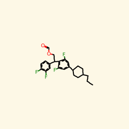 CCCC1CCC(c2cc(F)c(C(COC=O)c3ccc(F)c(F)c3)c(F)c2)CC1